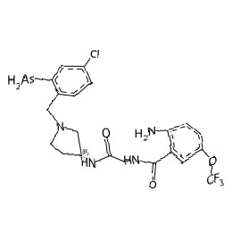 Nc1ccc(OC(F)(F)F)cc1C(=O)NCC(=O)N[C@@H]1CCN(Cc2ccc(Cl)cc2[AsH2])C1